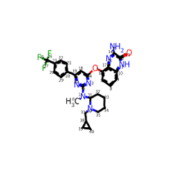 CN(c1nc(Oc2cccc3[nH]c(=O)c(N)nc23)cc(-c2ccc(C(F)(F)F)cc2)n1)C1CCCCN1CC1CC1